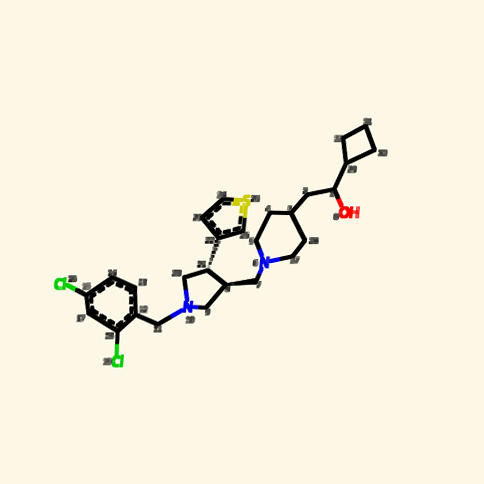 OC(CC1CCN(C[C@H]2CN(Cc3ccc(Cl)cc3Cl)C[C@@H]2c2ccsc2)CC1)C1CCC1